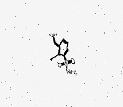 Cc1c(CO)cccc1S(N)(=O)=O